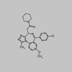 COc1ccc2c(c1)C(c1ccc(Cl)cc1)=NC(CC(=O)N1CCCCC1)c1nnc(C)n1-2